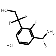 C[C@@H](N)c1cccc(C(F)(F)CO)c1F.Cl